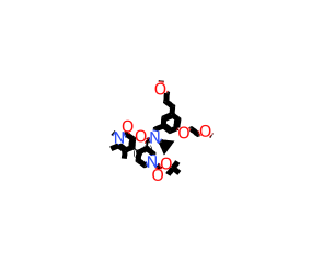 COCCCc1cc(CN(C(=O)[C@H]2CN(C(=O)OC(C)(C)C)CC[C@@H]2c2cc(=O)n(C)c(C)c2C)C2CC2)cc(OCCOC)c1